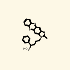 Cc1sc2cc3nc4ccccc4nc3cc2[n+]1CCCC(c1ccccc1)S(=O)(=O)O